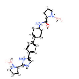 BN1CCCC1C(=O)NC1CC=C(c2ccc(-c3cnc(C4CCCN4B)[nH]3)cc2)CC1